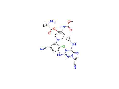 COC(=O)N[C@@H]1CCN(c2cc(C#N)cc(Nc3nc(NC4CC4)c4ncc(C#N)n4n3)c2Cl)C[C@H]1OC(=O)C1(N)CC1